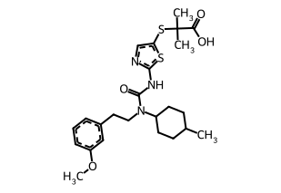 COc1cccc(CCN(C(=O)Nc2ncc(SC(C)(C)C(=O)O)s2)C2CCC(C)CC2)c1